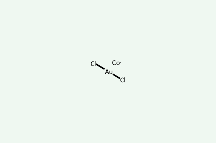 [Cl][Au][Cl].[Co]